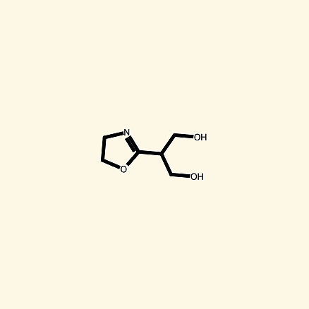 OCC(CO)C1=NCCO1